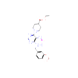 CCOC(=O)C1CCN(c2ncnc(NCc3ccc4c(c3)OCO4)c2N=O)CC1